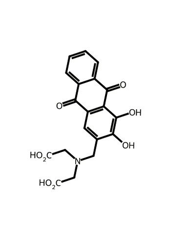 O=C(O)CN(CC(=O)O)Cc1cc2c(c(O)c1O)C(=O)c1ccccc1C2=O